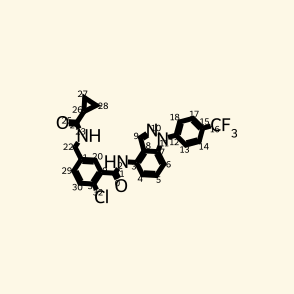 O=C(Nc1cccc2c1cnn2-c1ccc(C(F)(F)F)cc1)c1cc(CNC(=O)C2CC2)ccc1Cl